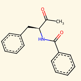 CC(=O)[C@H](Cc1ccccc1)NC(=O)c1ccccc1